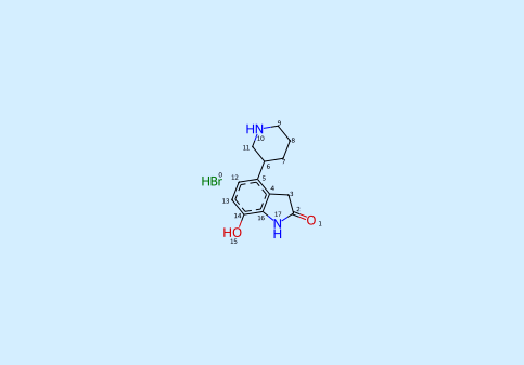 Br.O=C1Cc2c(C3CCCNC3)ccc(O)c2N1